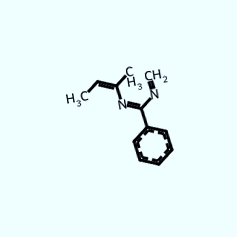 C=N/C(=N\C(C)=C/C)c1ccccc1